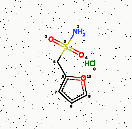 Cl.NS(=O)(=O)Cc1ccco1